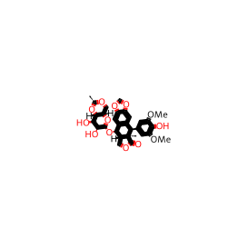 COc1cc([C@@H]2c3cc4c(cc3[C@@H](O[C@@H]3O[C@@H]5CO[C@@H](C)O[C@H]5[C@H](O)[C@H]3O)[C@H]3COC(=O)[C@]23C)OCO4)cc(OC)c1O